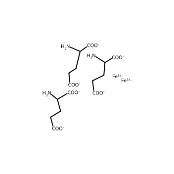 NC(CCC(=O)[O-])C(=O)[O-].NC(CCC(=O)[O-])C(=O)[O-].NC(CCC(=O)[O-])C(=O)[O-].[Fe+3].[Fe+3]